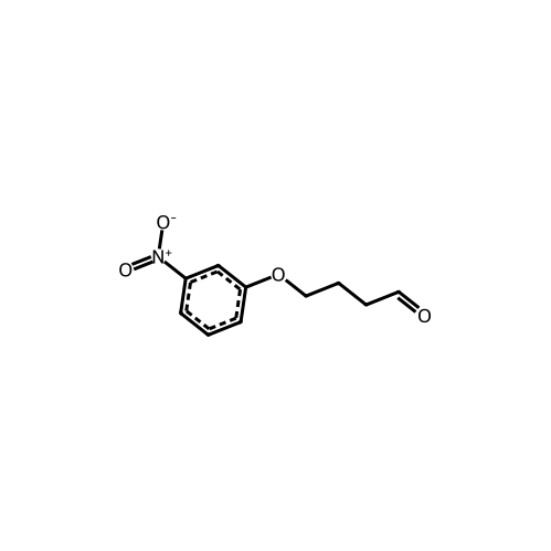 O=CCCCOc1cccc([N+](=O)[O-])c1